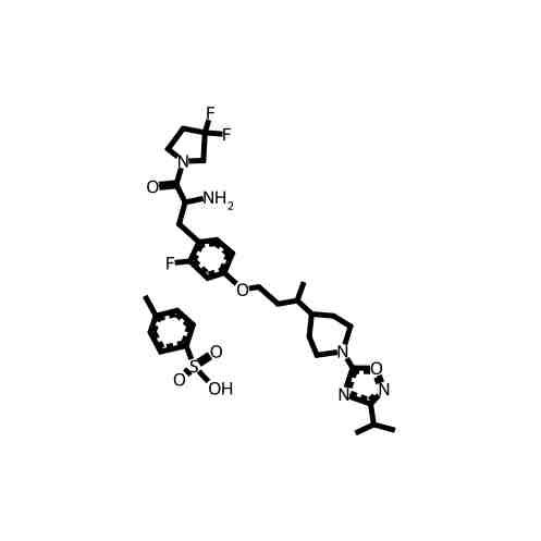 CC(C)c1noc(N2CCC(C(C)CCOc3ccc(CC(N)C(=O)N4CCC(F)(F)C4)c(F)c3)CC2)n1.Cc1ccc(S(=O)(=O)O)cc1